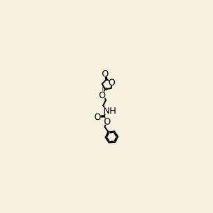 O=C1C[C@H](OCCNC(=O)OCc2ccccc2)CO1